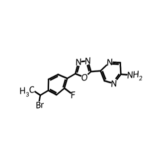 CC(Br)c1ccc(-c2nnc(-c3cnc(N)cn3)o2)c(F)c1